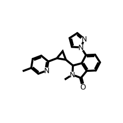 Cc1ccc(C2CC2C2c3c(cccc3-n3cccn3)C(=O)N2C)nc1